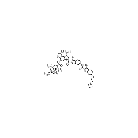 Cc1csc2c(OC(=O)N(C)CC(C)(C)CN(C)C)cc3c(c12)[C@@H](CCl)CN3C(=O)c1cc2cc(NC(=O)c3cc4cc(OCCN5CCCC5)ccc4[nH]3)ccc2[nH]1